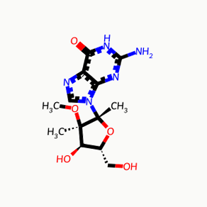 CO[C@]1(C)[C@H](O)[C@@H](CO)O[C@@]1(C)n1cnc2c(=O)[nH]c(N)nc21